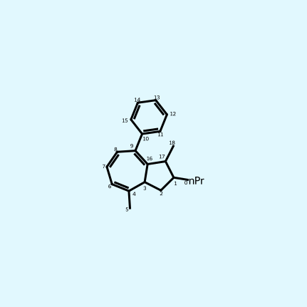 CCCC1CC2C(C)=CC=CC(c3ccccc3)=C2C1C